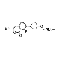 CCCCCCCCCCCOC1CCC(c2ccc3cc(CC)oc(=O)c3c2F)CC1